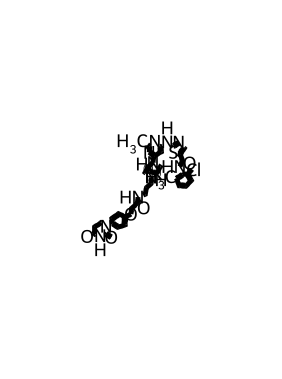 Cc1nc(Nc2ncc(C(=O)Nc3c(C)cccc3Cl)s2)cc(N2C[C@H]3C[C@@H]2CN3CCCNC(=O)COc2ccc(N3CCC(=O)NC3=O)cc2)n1